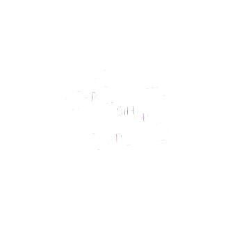 C1CCC(P(CC[SiH](CCP(C2CCCCC2)C2CCCCC2)CCP(C2CCCCC2)C2CCCCC2)C2CCCCC2)CC1